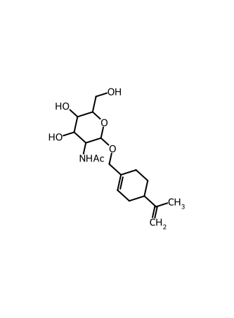 C=C(C)C1CC=C(COC2OC(CO)C(O)C(O)C2NC(C)=O)CC1